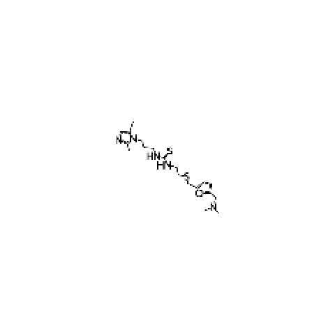 Cc1cnc(C)n1CCCNC(=S)NCCSCc1ccc(CN(C)C)o1